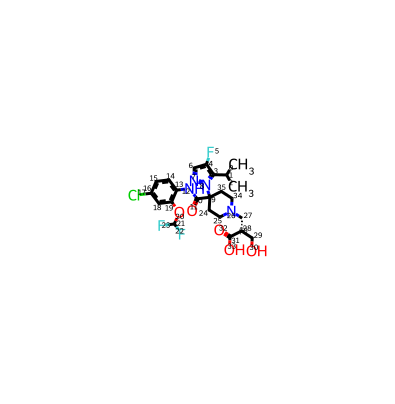 CC(C)c1c(F)cnn1C1(C(=O)Nc2ccc(Cl)cc2OC(F)F)CCN(C[C@H](CO)C(=O)O)CC1